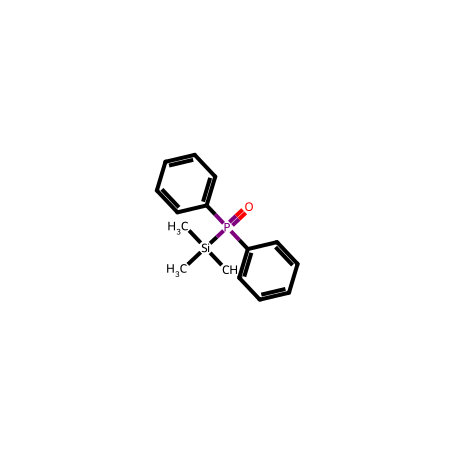 C[Si](C)(C)P(=O)(c1ccccc1)c1ccccc1